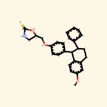 COc1ccc2c(c1)CCC(c1ccccc1)C2c1ccc(OCC2CNC(=S)O2)cc1